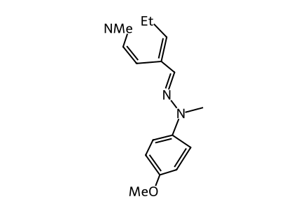 CC/C=C(\C=C/NC)/C=N/N(C)c1ccc(OC)cc1